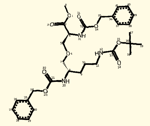 COC(=O)[C@H](COC[C@H](CCCNC(=O)OC(C)(C)C)NC(=O)OCc1ccccc1)NC(=O)OCc1ccccc1